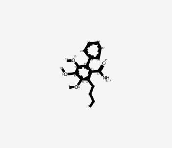 CCCCc1c(OC)c(OC)c(OC)c(-c2ccccc2)c1C(N)=O